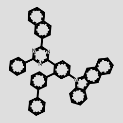 c1ccc(-c2cccc(-c3cc(-n4c5ccccc5c5cc6ccccc6cc54)ccc3-c3nc(-c4ccccc4)nc(-c4ccc5ccccc5c4)n3)c2)cc1